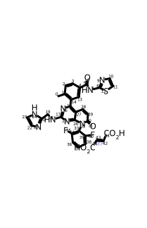 Cc1ccc(C(=O)Nc2nccs2)cc1-c1nc(NCc2ncc[nH]2)nc2c1ccc(=O)n2-c1c(F)cccc1F.O=C(O)/C=C/C(=O)O